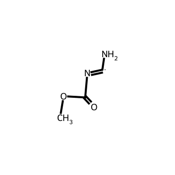 COC(=O)/N=[C]/N